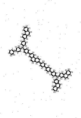 c1ccc(-c2ccc(N(c3ccc(-c4ccc5c(ccc6ccccc65)c4)cc3)c3ccc(-c4ccc5c(ccc6cc(-c7ccc(-c8ccc(-c9ccc(N(c%10ccc%11c(ccc%12ccccc%12%11)c%10)c%10ccc%11c(ccc%12ccccc%12%11)c%10)cc9)cc8)cc7)ccc65)c4)cc3)cc2)cc1